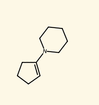 C1=C(N2CCCCC2)CCC1